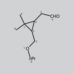 CCCOCC1C(CC=O)C1(C)C